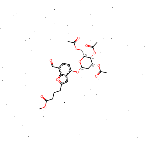 COC(=O)CCCc1cc2c(O[C@H]3C[C@@H](OC(C)=O)[C@@H](OC(C)=O)[C@@H](COC(C)=O)O3)ccc(C=O)c2o1